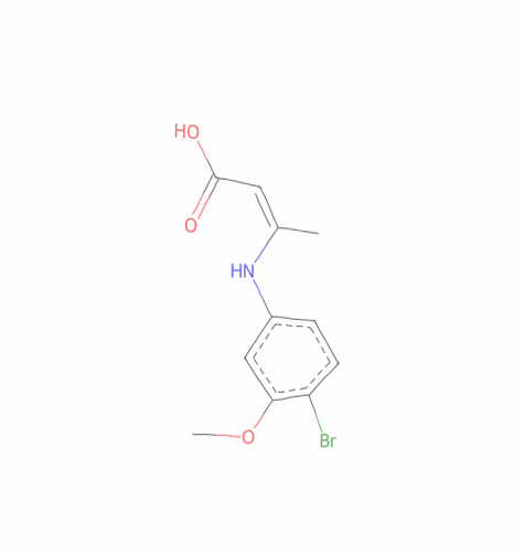 COc1cc(N/C(C)=C\C(=O)O)ccc1Br